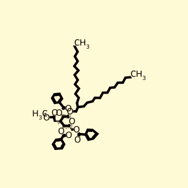 CCCCCCCCCCCCCCC(CCCCCCCCCCCCCC)CO[C@H]1O[C@H](COC(=O)c2ccccc2)[C@H](OC(=O)c2ccccc2)[C@@H](CC(=O)OC)[C@H]1OC(=O)c1ccccc1